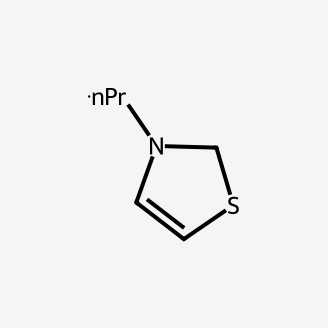 CC[CH]N1C=CSC1